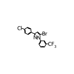 FC(F)(F)c1cccc(-n2nc(-c3ccc(Cl)cc3)cc2Br)c1